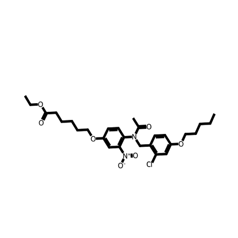 CCCCCOc1ccc(CN(C(C)=O)c2ccc(OCCCCCC(=O)OCC)cc2[N+](=O)[O-])c(Cl)c1